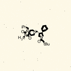 CC(C)CN1C(=O)N(C)C(=O)C12CCN(C[C@H]1CN(C(=O)CC(C)(C)C)C[C@@H]1c1ccccc1)CC2